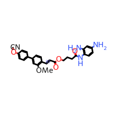 COc1cc(-c2ccc(OC#N)cc2)ccc1/C=C/C(=O)OCCCC(=O)Nc1ccc(N)cc1N